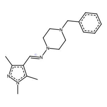 Cc1nn(C)c(C)c1/C=N/N1CCN(Cc2ccccc2)CC1